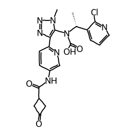 C[C@H](c1cccnc1Cl)N(C(=O)O)c1c(-c2ccc(NC(=O)C3CC(=O)C3)cn2)nnn1C